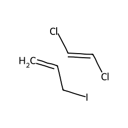 C=CCI.ClC=CCl